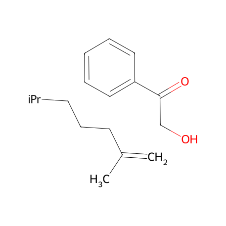 C=C(C)CCCC(C)C.O=C(CO)c1ccccc1